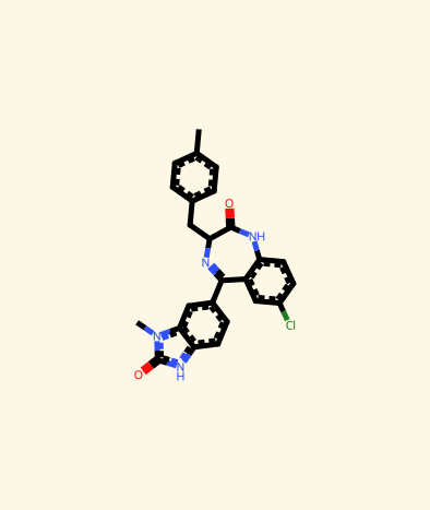 Cc1ccc(CC2N=C(c3ccc4[nH]c(=O)n(C)c4c3)c3cc(Cl)ccc3NC2=O)cc1